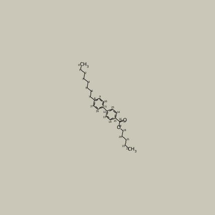 CCCCCCCCc1ccc(-c2ccc(C(=O)OCCCCC)cc2)cc1